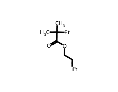 CCC(C)(C)C(=O)OCCC(C)C